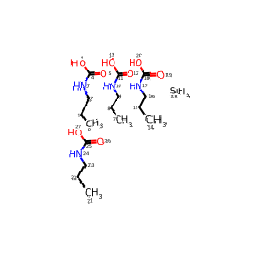 CCCNC(=O)O.CCCNC(=O)O.CCCNC(=O)O.CCCNC(=O)O.[SiH4]